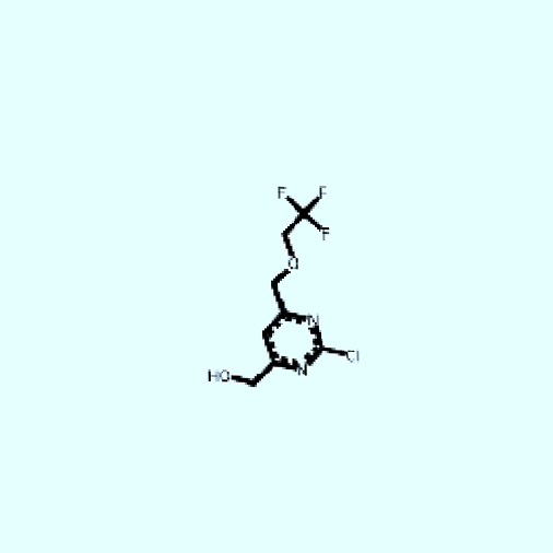 OCc1cc(COCC(F)(F)F)nc(Cl)n1